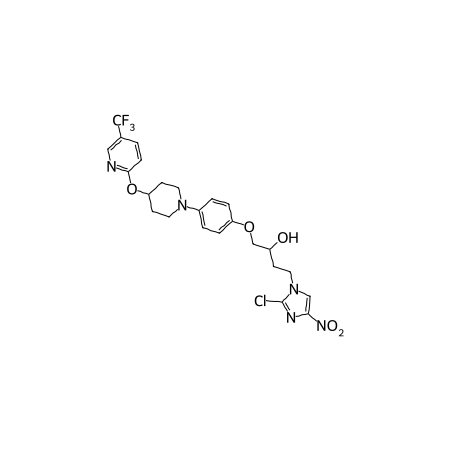 O=[N+]([O-])c1cn(CCC(O)COc2ccc(N3CCC(Oc4ccc(C(F)(F)F)cn4)CC3)cc2)c(Cl)n1